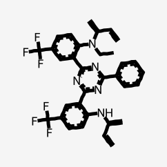 C=CC(=C)Nc1ccc(C(F)(F)F)cc1-c1nc(-c2ccccc2)nc(-c2cc(C(F)(F)F)ccc2N(CC)C(=C)C=C)n1